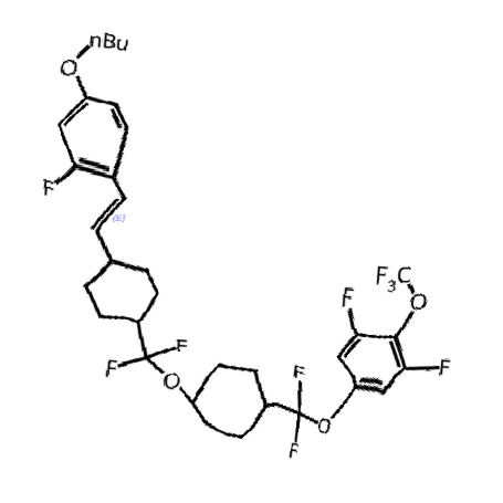 CCCCOc1ccc(/C=C/C2CCC(C(F)(F)OC3CCC(C(F)(F)Oc4cc(F)c(OC(F)(F)F)c(F)c4)CC3)CC2)c(F)c1